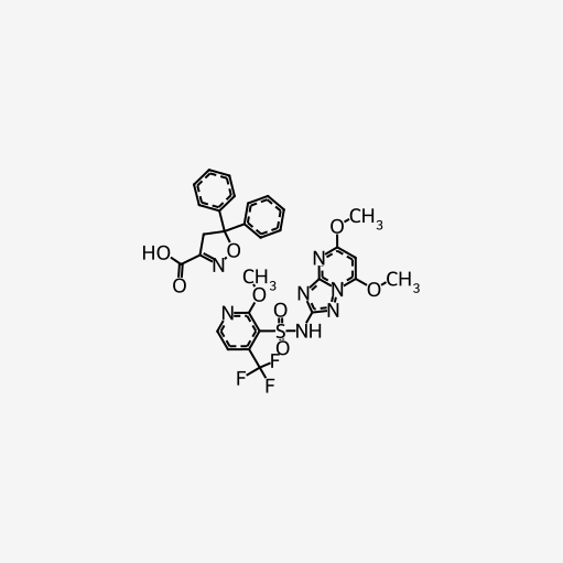 COc1cc(OC)n2nc(NS(=O)(=O)c3c(C(F)(F)F)ccnc3OC)nc2n1.O=C(O)C1=NOC(c2ccccc2)(c2ccccc2)C1